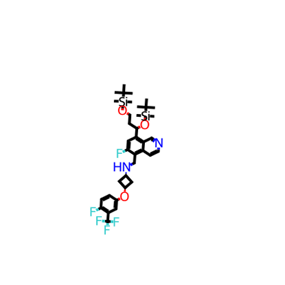 CC(C)(C)[Si](C)(C)OCCC(O[Si](C)(C)C(C)(C)C)c1cc(F)c(CN[C@H]2C[C@H](Oc3ccc(F)c(C(F)(F)F)c3)C2)c2ccncc12